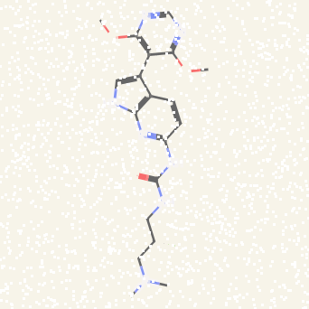 COc1ncnc(OC)c1-c1c[nH]c2nc(NC(=O)NC[C@H](F)CN(C)C)ccc12